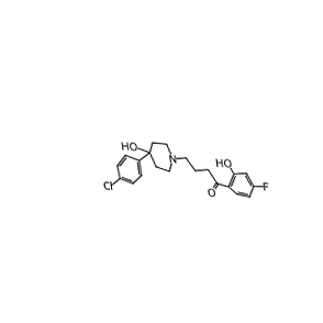 O=C(CCCN1CCC(O)(c2ccc(Cl)cc2)CC1)c1ccc(F)cc1O